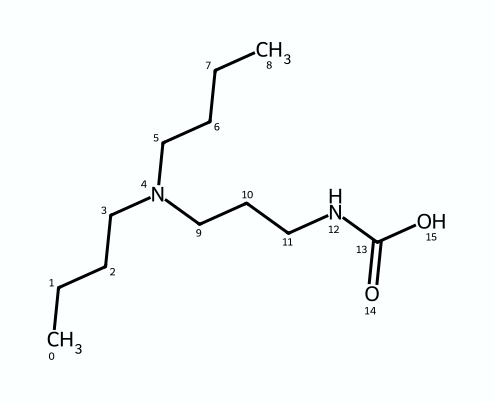 CCCCN(CCCC)CCCNC(=O)O